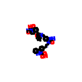 CC(C)(C)[Si](C)(C)O[C@@H](CNCc1ccc2c(c1)[nH]c(=O)n2C/C=C/c1ccc(-c2ccccc2)c(NC(=O)O)c1)c1ccc(O)c2[nH]c(=O)ccc12